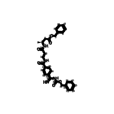 C[C@H](CC(=O)OCc1ccccc1)NC(=O)CCNC(=O)c1ccc(C(=N)NC(=O)OCc2ccccc2)cc1